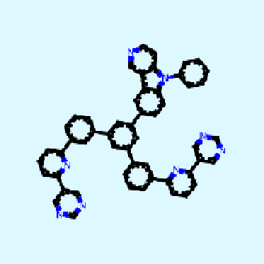 c1ccc(-n2c3ccncc3c3cc(-c4cc(-c5cccc(-c6cccc(-c7cncnc7)n6)c5)cc(-c5cccc(-c6cccc(-c7cncnc7)n6)c5)c4)ccc32)cc1